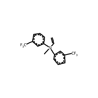 C=C[Si](C)(c1cccc(C(F)(F)F)c1)c1cccc(C(F)(F)F)c1